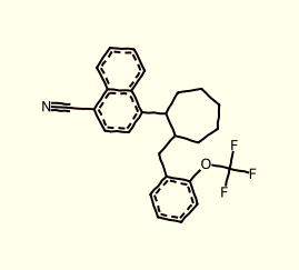 N#Cc1ccc(C2CCCCCC2Cc2ccccc2OC(F)(F)F)c2ccccc12